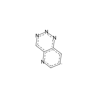 [c]1cnc2cnnnc2c1